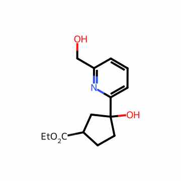 CCOC(=O)C1CCC(O)(c2cccc(CO)n2)C1